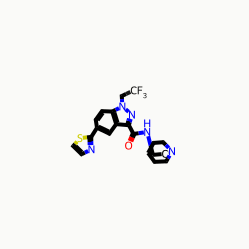 O=C(NC1CN2CCC1CC2)c1nn(CC(F)(F)F)c2ccc(-c3nccs3)cc12